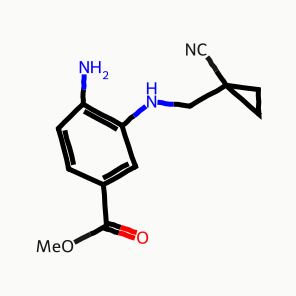 COC(=O)c1ccc(N)c(NCC2(C#N)CC2)c1